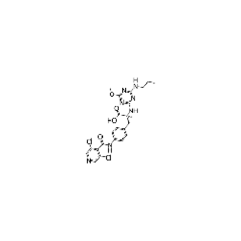 CCCNc1nc(N[C@@H](Cc2ccc(NC(=O)c3c(Cl)cncc3Cl)cc2)C(=O)O)nc(OC)n1